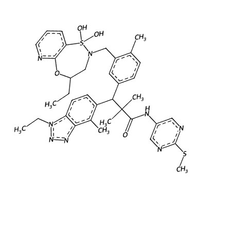 CCC1CN(Cc2cc(C(c3ccc4c(nnn4CC)c3C)C(C)(C)C(=O)Nc3cnc(SC)nc3)ccc2C)S(O)(O)c2cccnc2O1